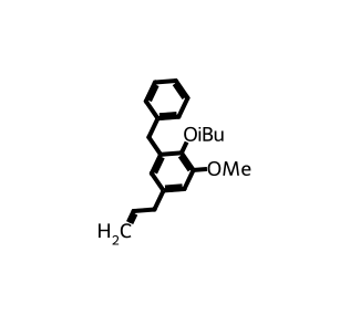 C=CCc1cc(Cc2ccccc2)c(OCC(C)C)c(OC)c1